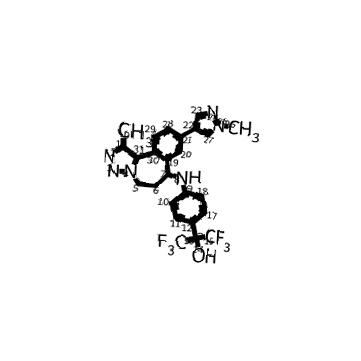 CC1N=NN2CCC(Nc3ccc(C(O)(C(F)(F)F)C(F)(F)F)cc3)c3cc(-c4cnn(C)c4)ccc3C12